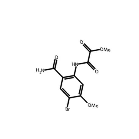 COC(=O)C(=O)Nc1cc(OC)c(Br)cc1C(N)=O